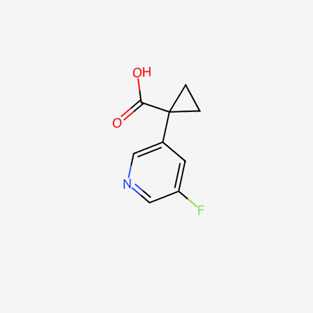 O=C(O)C1(c2cncc(F)c2)CC1